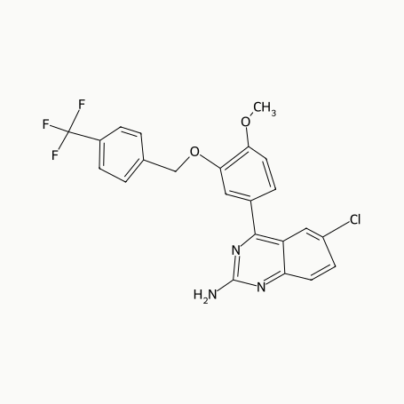 COc1ccc(-c2nc(N)nc3ccc(Cl)cc23)cc1OCc1ccc(C(F)(F)F)cc1